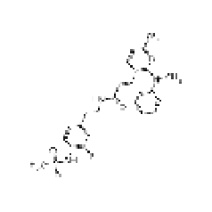 CN(c1ccccc1)c1nc(C(F)(F)F)ccc1C=CC(=O)NCCc1ccc(NS(C)(=O)=O)c(F)c1